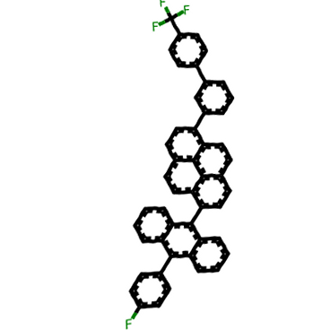 Fc1ccc(-c2c3ccccc3c(-c3ccc4ccc5c(-c6cccc(-c7ccc(C(F)(F)F)cc7)c6)ccc6ccc3c4c65)c3ccccc23)cc1